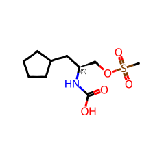 CS(=O)(=O)OC[C@H](CC1CCCC1)NC(=O)O